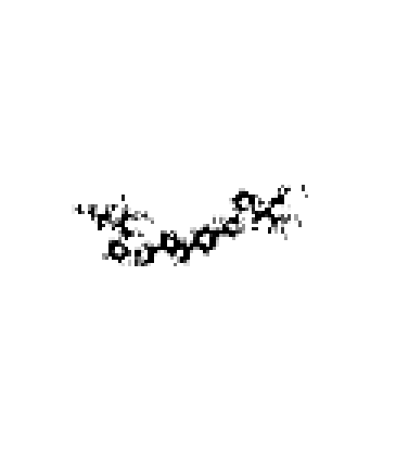 COC(=O)NC(C(=O)N1CC=C[C@H]1c1ncc(-c2ccc(-c3csc4c(-c5c[nH]c([C@@H]6CCCN6C(=O)C(NC(=O)OC)C(C)C)n5)csc34)cc2)[nH]1)C(C)C